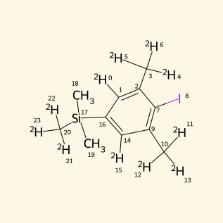 [2H]c1c(C([2H])([2H])[2H])c(I)c(C([2H])([2H])[2H])c([2H])c1[Si](C)(C)C([2H])([2H])[2H]